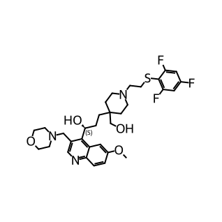 COc1ccc2ncc(CN3CCOCC3)c([C@@H](O)CCC3(CO)CCN(CCSc4c(F)cc(F)cc4F)CC3)c2c1